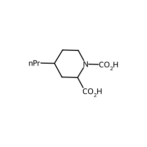 CCCC1CCN(C(=O)O)C(C(=O)O)C1